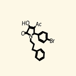 CC(=O)C1=C(O)C(=O)N(CCCc2ccccc2)C1c1ccc(Br)cc1